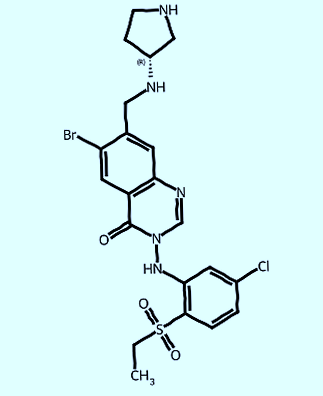 CCS(=O)(=O)c1ccc(Cl)cc1Nn1cnc2cc(CN[C@@H]3CCNC3)c(Br)cc2c1=O